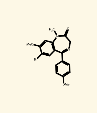 COc1ccc(C2=NCC(=O)N(C)c3cc(OC)c(Br)cc32)cc1